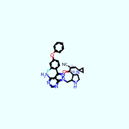 N#C/C(=C/C1(N)CC1)C(=O)C1CCNC1Cn1nc(-c2ccc(Oc3ccccc3)cc2F)c2c(N)ncnc21